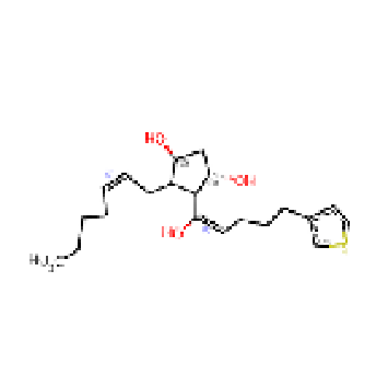 O=C(O)CCC/C=C\CC1C(/C(O)=C\CCCc2ccsc2)[C@@H](O)C[C@@H]1O